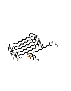 C1=CSSC1.CCCCCCCCCC.CCCCCCCCCC.CCCCCCCCCC.CCCCCCCCCC.CCCCCCCCCC.CCCCCCCCCC